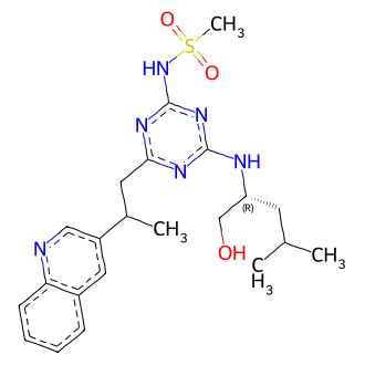 CC(C)C[C@H](CO)Nc1nc(CC(C)c2cnc3ccccc3c2)nc(NS(C)(=O)=O)n1